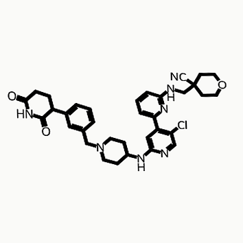 N#CC1(CNc2cccc(-c3cc(NC4CCN(Cc5cccc(C6CCC(=O)NC6=O)c5)CC4)ncc3Cl)n2)CCOCC1